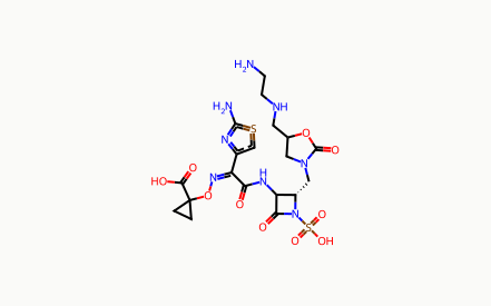 NCCNCC1CN(C[C@H]2C(NC(=O)/C(=N\OC3(C(=O)O)CC3)c3csc(N)n3)C(=O)N2S(=O)(=O)O)C(=O)O1